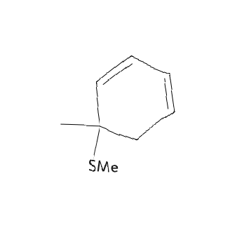 CSC1(C)C=CC=CC1